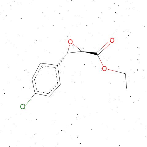 CCOC(=O)[C@@H]1O[C@H]1c1ccc(Cl)cc1